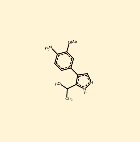 COc1cc(-c2cn[nH]c2C(C)O)ccc1N